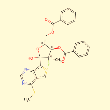 CSc1ncnc2c(C3(O)O[C@H](COC(=O)c4ccccc4)[C@@H](OC(=O)c4ccccc4)[C@@]3(C)F)scc12